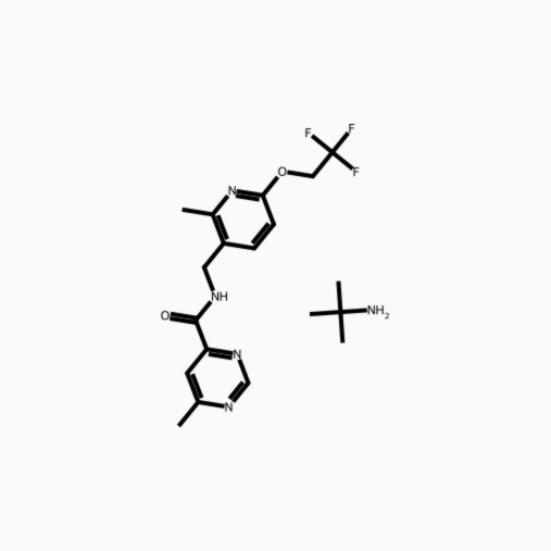 CC(C)(C)N.Cc1cc(C(=O)NCc2ccc(OCC(F)(F)F)nc2C)ncn1